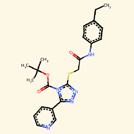 CCc1ccc(NC(=O)CSc2nnc(-c3cccnc3)n2C(=O)OC(C)(C)C)cc1